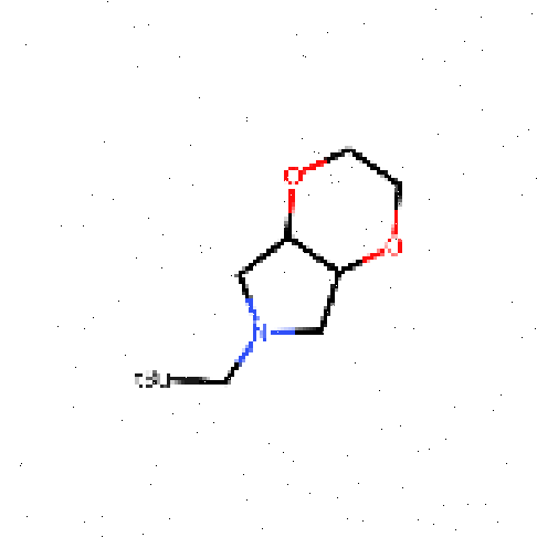 CC(C)(C)CN1CC2OCCOC2C1